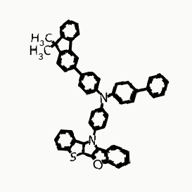 CC1(C)c2ccccc2-c2cc(-c3ccc(N(C4=CC=C(c5ccccc5)CC4)c4ccc(N5c6c(oc7ccccc67)C6Sc7ccccc7C65)cc4)cc3)ccc21